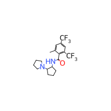 Cc1cc(C(F)(F)F)cc(C(F)(F)F)c1C(=O)NC1CCCC1N1CCCC1